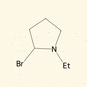 CCN1CCCC1Br